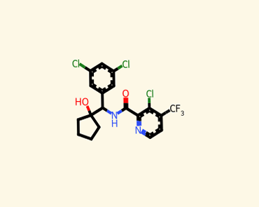 O=C(NC(c1cc(Cl)cc(Cl)c1)C1(O)CCCC1)c1nccc(C(F)(F)F)c1Cl